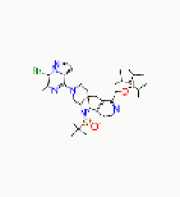 Cc1nc(N2CCC3(CC2)Cc2c(ccnc2CO[Si](C(C)C)(C(C)C)C(C)C)/C3=N\[S@+]([O-])C(C)(C)C)c2ccnn2c1Br